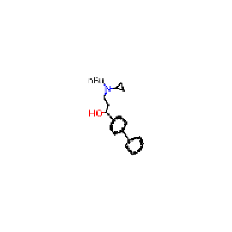 CCCCN(CCC(O)c1ccc(-c2ccccc2)cc1)C1CC1